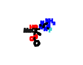 C#CC(COC(=O)c1ccccc1)(OC)[C@@H](O)Cn1cnc2c(N)nc(F)nc21